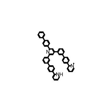 CN1C=CC=CC1c1ccc(-c2cccc(-c3cc(-c4ccc(-c5ccccc5)cc4)nc(-c4cccc(-c5ccc(C6=CC=CCN6)cc5)c4)c3)c2)cc1